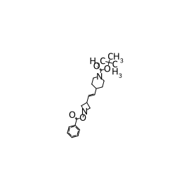 CC(C)(C)OC(=O)N1CCC(/C=C/C2CN(OC(=O)c3ccccc3)C2)CC1